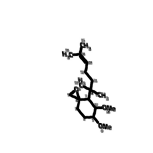 COC1CC[C@]2(CO2)C(C(C)(C)CCC=C(C)C)C1OC